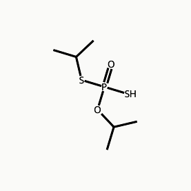 CC(C)OP(=O)(S)SC(C)C